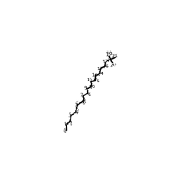 CCCCCCCCCCCCCCC[CH]C[CH]C(C)(C)C